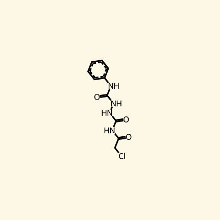 O=C(CCl)NC(=O)NNC(=O)Nc1ccccc1